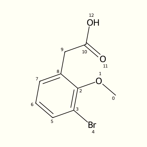 COc1c(Br)cccc1CC(=O)O